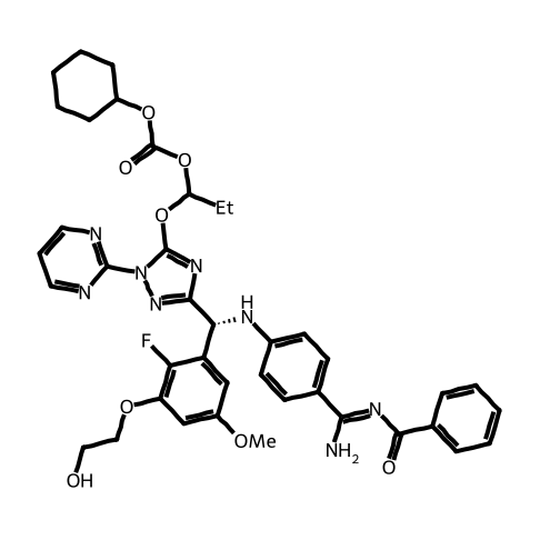 CCC(OC(=O)OC1CCCCC1)Oc1nc([C@H](Nc2ccc(C(N)=NC(=O)c3ccccc3)cc2)c2cc(OC)cc(OCCO)c2F)nn1-c1ncccn1